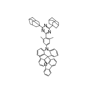 Cc1ccccc1C1(c2cccc3c2oc2ccccc23)c2ccccc2N(c2cc(C)c(-c3nc(C45CC6CC(CC(C6)C4)C5)nc(C45CC6CC(CC(C6)C4)C5)n3)c(C)c2)c2ccccc21